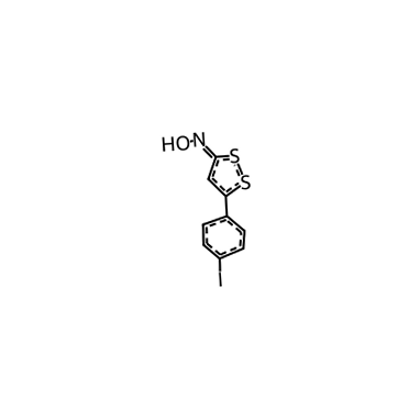 O/N=c1\cc(-c2ccc(I)cc2)ss1